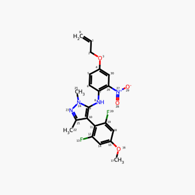 C=CCOc1ccc(Nc2c(-c3c(F)cc(OC)cc3F)c(C)nn2C)c([N+](=O)[O-])c1